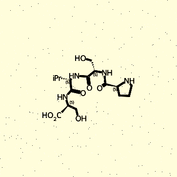 CC(C)[C@H](NC(=O)[C@H](CO)NC(=O)[C@@H]1CCCN1)C(=O)N[C@@H](CO)C(=O)O